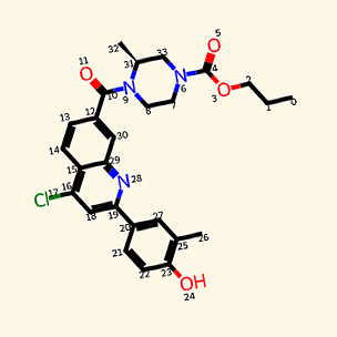 CCCOC(=O)N1CCN(C(=O)c2ccc3c(Cl)cc(-c4ccc(O)c(C)c4)nc3c2)[C@@H](C)C1